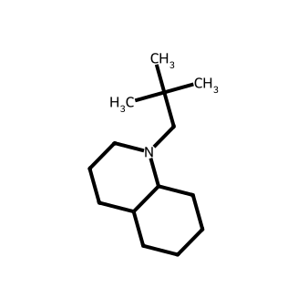 CC(C)(C)CN1CCCC2CCCCC21